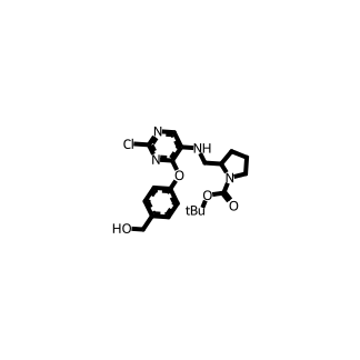 CC(C)(C)OC(=O)N1CCCC1CNc1cnc(Cl)nc1Oc1ccc(CO)cc1